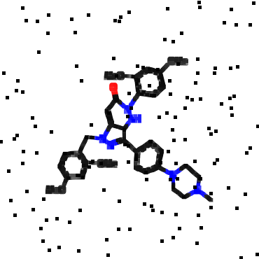 COc1ccc(CN2N=C(c3ccc(N4CCN(C)CC4)cc3)C3NN(c4ccc(OC)cc4OC)C(=O)C=C32)c(OC)c1